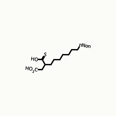 CCCCCCCCCCCCCCCCC(CC(=O)O)C(O)=S